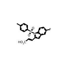 Cc1ccc(S(=O)(=O)n2c(/C=C/C(=O)O)cc3cc(F)ccc32)cc1